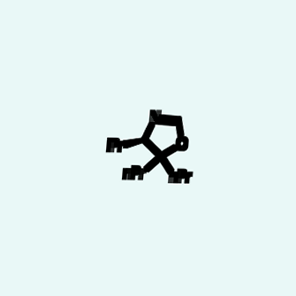 CCCC1(CCC)OC=N[C@@H]1C(C)C